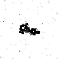 O=C1CCCC2(CC2)C/C1=N\Nc1ccc(Br)cc1